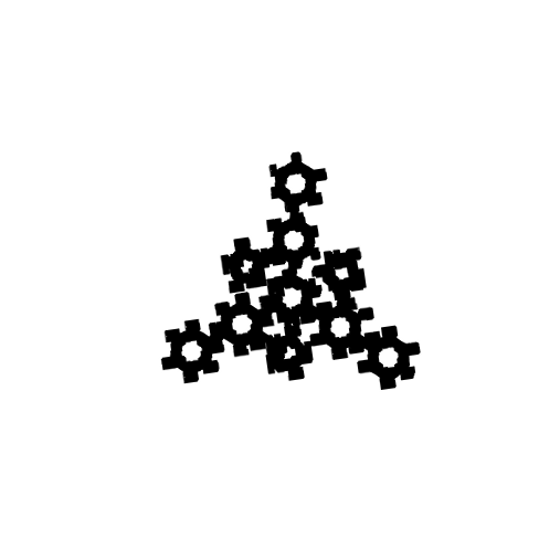 c1ccc(-c2ccc(-c3nc(-c4ccc(-c5ccccc5)cc4-n4cncn4)nc(-c4ccc(-c5ccccc5)cc4-n4cncn4)n3)c(-n3cncn3)c2)cc1